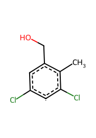 Cc1c(Cl)[c]c(Cl)cc1CO